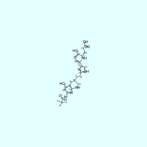 CC(C)(C)C(=O)Nc1nc(O)c2c(n1)NCC(CCc1nc(C(=O)N[C@H](CCC(=O)O)C(=O)O)c[nH]1)C2